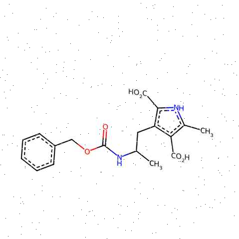 Cc1[nH]c(C(=O)O)c(CC(C)NC(=O)OCc2ccccc2)c1C(=O)O